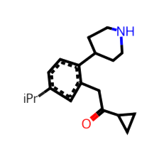 CC(C)c1ccc(C2CCNCC2)c(CC(=O)C2CC2)c1